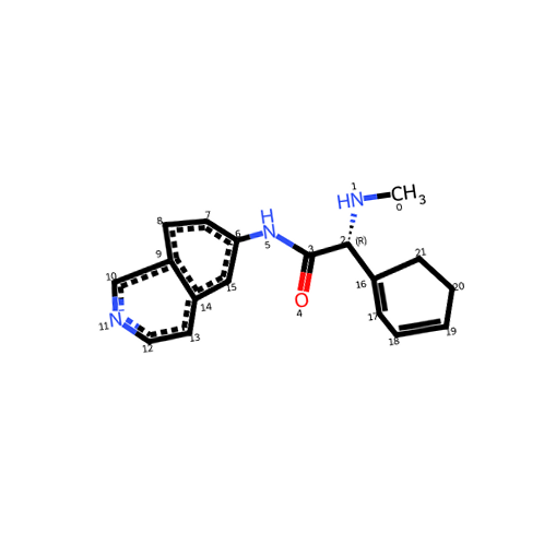 CN[C@@H](C(=O)Nc1ccc2cnccc2c1)C1=CC=CCC1